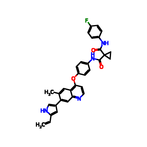 C=Cc1cc(-c2cc3nccc(Oc4ccc(NC(=O)C5(C(=O)Nc6ccc(F)cc6)CC5)cc4)c3cc2C)c[nH]1